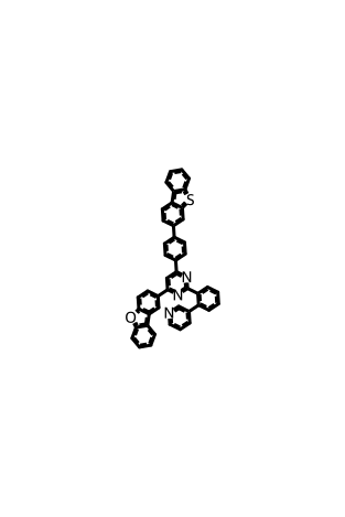 c1cncc(-c2ccccc2-c2nc(-c3ccc(-c4ccc5c(c4)sc4ccccc45)cc3)cc(-c3ccc4oc5ccccc5c4c3)n2)c1